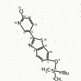 CC(C)(C)[Si](C)(C)Oc1ccc2nc(-c3ccc(Cl)nc3)sc2c1